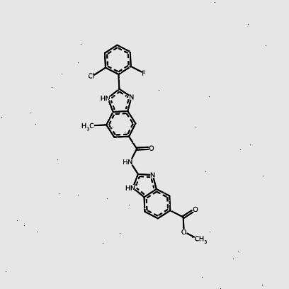 COC(=O)c1ccc2[nH]c(NC(=O)c3cc(C)c4[nH]c(-c5c(F)cccc5Cl)nc4c3)nc2c1